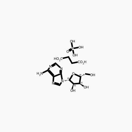 Nc1ncnc2c1ncn2[C@@H]1O[C@H](CO)[C@@H](O)[C@H]1O.O=C(O)CCC(=O)O.O=P(O)(O)O